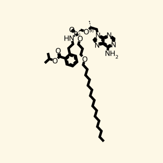 CCCCCCCCCCCCCCCCOCCCO[P@@](=O)(CO[C@H](C)Cn1cnc2c(N)ncnc21)NCCc1ccccc1C(=O)OC(C)C